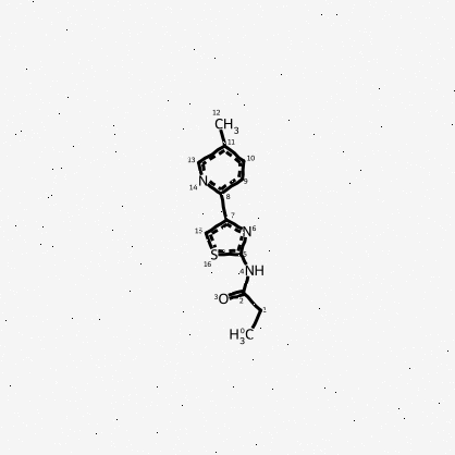 CCC(=O)Nc1nc(-c2ccc(C)cn2)cs1